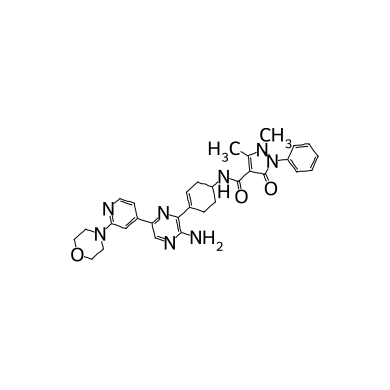 Cc1c(C(=O)NC2CC=C(c3nc(-c4ccnc(N5CCOCC5)c4)cnc3N)CC2)c(=O)n(-c2ccccc2)n1C